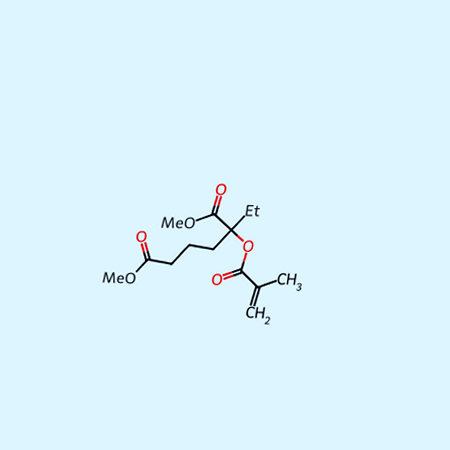 C=C(C)C(=O)OC(CC)(CCCC(=O)OC)C(=O)OC